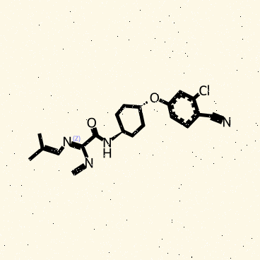 C=N/C(=N\C=C(C)C)C(=O)N[C@H]1CC[C@H](Oc2ccc(C#N)c(Cl)c2)CC1